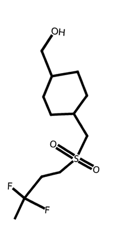 CC(F)(F)CCS(=O)(=O)CC1CCC(CO)CC1